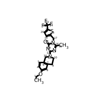 CCOc1ccc2c(c1)CCN(c1nc(C)n(Cc3ccc(C(F)(F)F)s3)c(=O)n1)C2